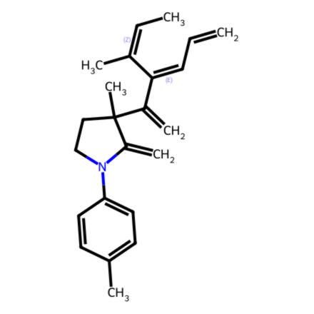 C=C/C=C(C(=C)C1(C)CCN(c2ccc(C)cc2)C1=C)\C(C)=C/C